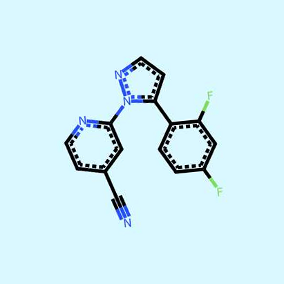 N#Cc1ccnc(-n2nccc2-c2ccc(F)cc2F)c1